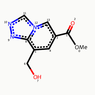 COC(=O)c1cc(CO)c2nncn2c1